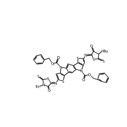 CCCCC1C(=O)/C(=N/c2cc3c(s2)c2cc4c(cc2n3C(=O)OCc2ccccc2)c2sc(/N=C3\SC(=S)N(CC)C3=O)cc2n4C(=O)OCc2ccccc2)SC1=S